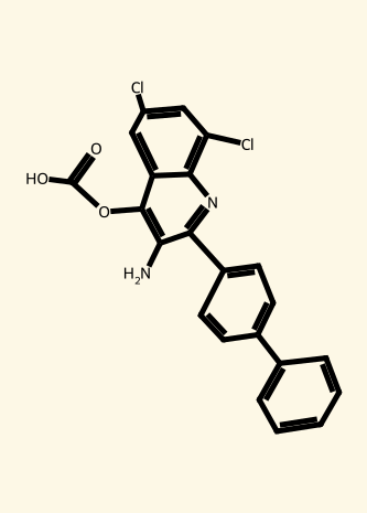 Nc1c(-c2ccc(-c3ccccc3)cc2)nc2c(Cl)cc(Cl)cc2c1OC(=O)O